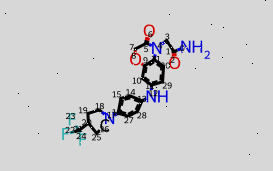 NC(=O)CN1C(=O)COc2cc(Nc3ccc(N4CCC(C(F)(F)F)CC4)cc3)ccc21